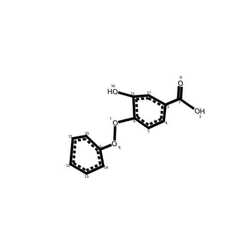 O=C(O)c1ccc(OOc2ccccc2)c(O)c1